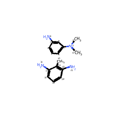 CN(C)c1cccc(N)c1.Cc1c(N)cccc1N